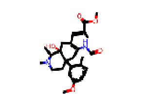 COC(=O)/C(C)=C/C1=C(NC=O)CC2(c3cc(OC)ccc3C)CCN(C)C(C)[C@]2(O)C1